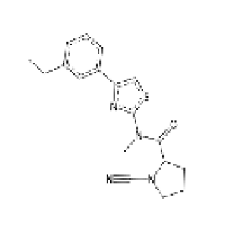 CCc1cccc(-c2csc(N(C)C(=O)C3CCCN3C#N)n2)c1